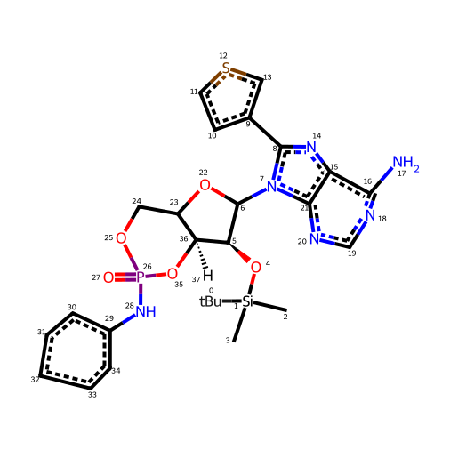 CC(C)(C)[Si](C)(C)O[C@@H]1C(n2c(-c3ccsc3)nc3c(N)ncnc32)OC2COP(=O)(Nc3ccccc3)O[C@@H]21